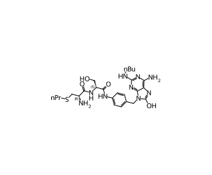 [CH2][CH]CSC[C@H](N)C(=O)N[C@@H](CO)C(=O)Nc1ccc(Cn2c(O)nc3c(N)nc(NCCCC)nc32)cc1